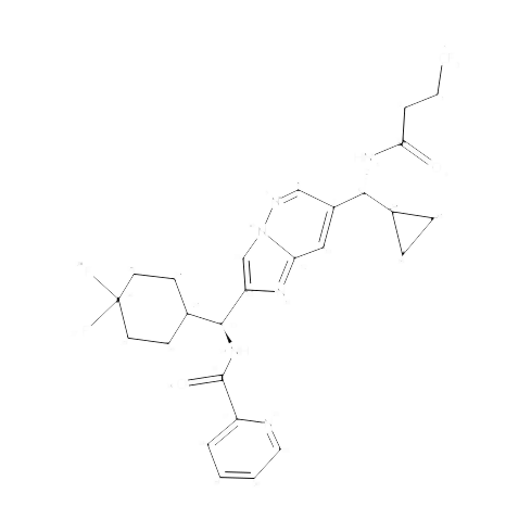 O=C(CCC(F)(F)F)N[C@@H](c1cnn2cc([C@@H](NC(=O)c3ccccn3)C3CCC(F)(F)CC3)nc2c1)C1CC1